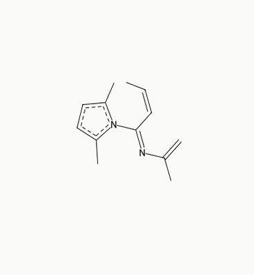 C=C(C)/N=C(\C=C/C)n1c(C)ccc1C